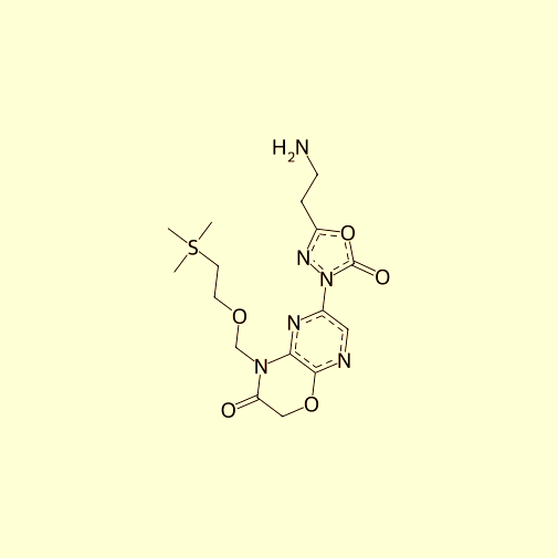 CS(C)(C)CCOCN1C(=O)COc2ncc(-n3nc(CCN)oc3=O)nc21